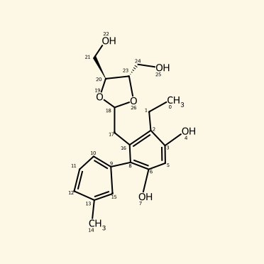 CCc1c(O)cc(O)c(-c2cccc(C)c2)c1CC1O[C@@H](CO)[C@H](CO)O1